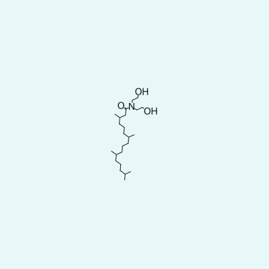 CC(C)CCCC(C)CCCC(C)CCCC(C)CC(=O)N(CCO)CCO